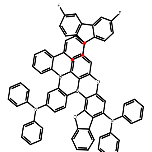 Fc1ccc2c(c1)-c1cc(F)ccc1C2c1cc2c3c(c1)N(c1ccccc1-c1ccccc1)c1cc(N(c4ccccc4)c4ccccc4)ccc1B3c1c(cc(N(c3ccccc3)c3ccccc3)c3c1oc1ccccc13)O2